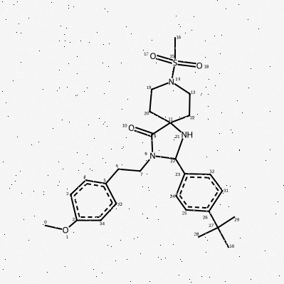 COc1ccc(CCN2C(=O)C3(CCN(S(C)(=O)=O)CC3)NC2c2ccc(C(C)(C)C)cc2)cc1